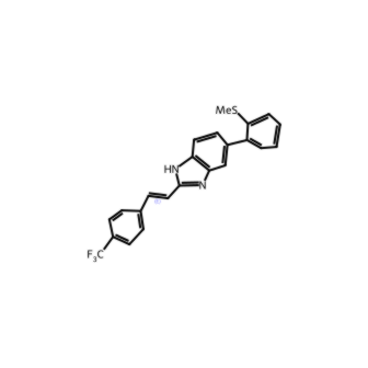 CSc1ccccc1-c1ccc2[nH]c(/C=C/c3ccc(C(F)(F)F)cc3)nc2c1